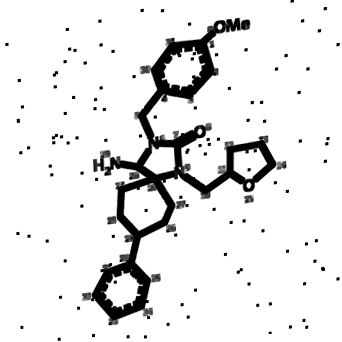 COc1ccc(CN2C(=O)N(CC3CCCO3)C3(CCC(c4ccccc4)CC3)C2N)cc1